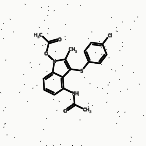 CC(=O)Nc1cccc2c1c(Sc1ccc(Cl)cc1)c(C)n2OC(C)=O